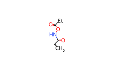 C=CC(=O)NOC(=O)CC